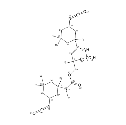 CCC(C)(C=C(NC(=O)O)C1(C)CC(N=C=O)CC(C)(C)C1)COC(=O)N(C)C1(C)CC(N=C=O)CC(C)(C)C1